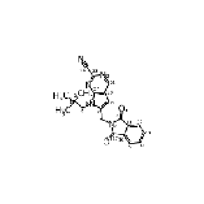 CC(C)(C)Cn1c(CN2C(=O)c3ccccc3C2=O)cc2cnc(C#N)nc21